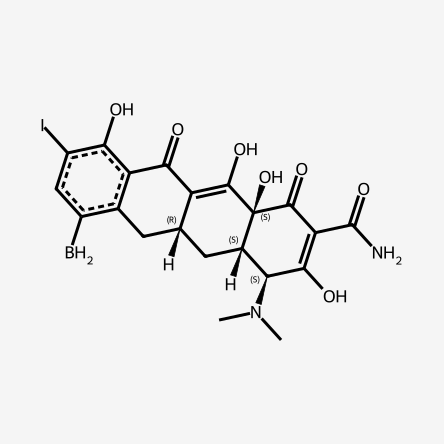 Bc1cc(I)c(O)c2c1C[C@H]1C[C@H]3[C@H](N(C)C)C(O)=C(C(N)=O)C(=O)[C@@]3(O)C(O)=C1C2=O